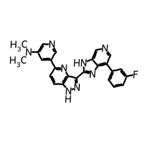 CN(C)c1cncc(-c2ccc3[nH]nc(-c4nc5c(-c6cccc(F)c6)cncc5[nH]4)c3n2)c1